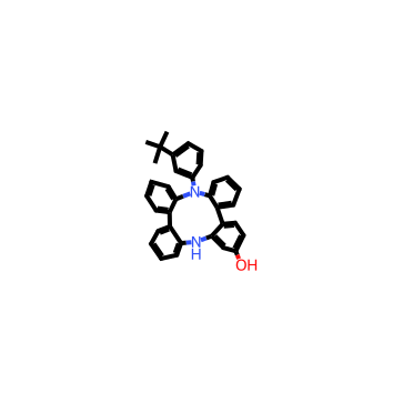 CC(C)(C)c1cccc(N2c3ccccc3-c3ccccc3Nc3cc(O)ccc3-c3ccccc32)c1